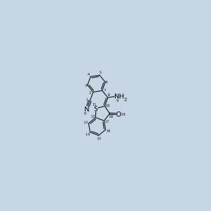 N#Cc1ccccc1/C(N)=C1\Sc2ccccc2C1=O